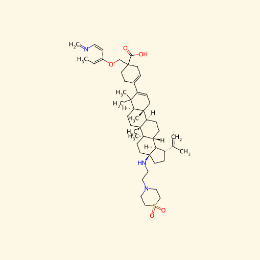 C=N/C=C\C(=C/C)OCC1(C(=O)O)CC=C(C2=CC[C@]3(C)[C@H]4CC[C@@H]5[C@H]6[C@H](C(=C)C)CC[C@]6(NCCN6CCS(=O)(=O)CC6)CC[C@@]5(C)[C@]4(C)CC[C@H]3C2(C)C)CC1